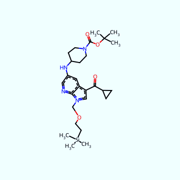 CC(C)(C)OC(=O)N1CCC(Nc2cnc3c(c2)c(C(=O)C2CC2)cn3COCC[Si](C)(C)C)CC1